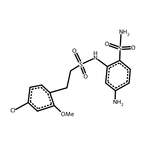 COc1cc(Cl)ccc1CCS(=O)(=O)Nc1cc(N)ccc1S(N)(=O)=O